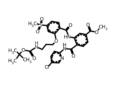 COC(=O)c1ccc(C(=O)Nc2ccc(Cl)cn2)c(NC(=O)c2ccc(S(C)(=O)=O)cc2OCCCNC(=O)OC(C)(C)C)c1